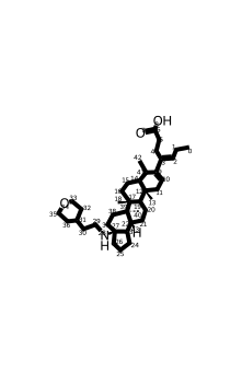 CC/C=C(\CCC(=O)O)C1=CC[C@@]2(C)C(CC[C@]3(C)C2CC[C@@H]2C4CCC[C@]4(NCCC4CCOCC4)CC[C@]23C)C1C